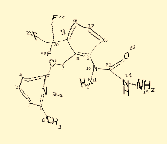 Cc1cccc(OCc2c(N(N)C(=O)NN)cccc2C(F)(F)F)n1